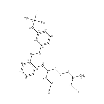 CN(CF)CCCC(OCF)Oc1ccccc1CCc1cccc(OC(F)(F)F)c1